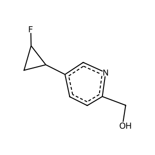 OCc1ccc(C2CC2F)cn1